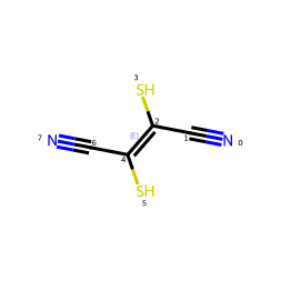 N#C/C(S)=C(\S)C#N